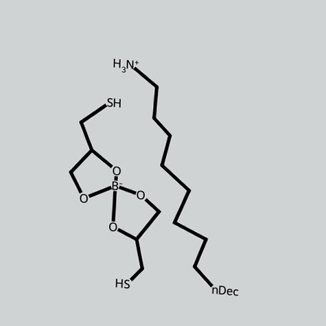 CCCCCCCCCCCCCCCCCC[NH3+].SCC1CO[B-]2(OCC(CS)O2)O1